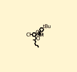 C=C/C=C\C=C(/C)C(=O)c1cc(Cl)ccc1NS(=O)(=O)c1ccc(C(C)(C)C)cc1